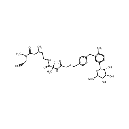 C#CCN(C)C(=O)CN(C)CCNC(=O)C(C)(C)NC(=O)COCc1ccc(Cc2cc([C@@H]3O[C@H](SC)[C@@H](O)[C@H](O)[C@H]3O)ccc2C)cc1